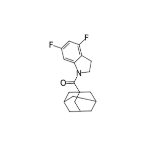 O=C(N1CCc2c(F)cc(F)cc21)C12CC3CC(CC(C3)C1)C2